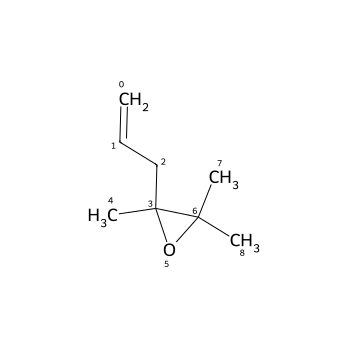 C=CCC1(C)OC1(C)C